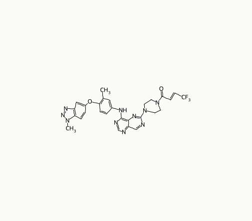 Cc1cc(Nc2ncnc3cnc(N4CCN(C(=O)C=CC(F)(F)F)CC4)nc23)ccc1Oc1ccc2c(c1)nnn2C